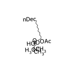 CCCCCCCCCCCCCCCCCCCC(COP(=O)(O)CC[N+](C)(C)C)OC(C)=O